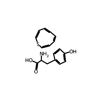 NC(Cc1ccc(O)cc1)C(=O)O.c1ccccsccc1